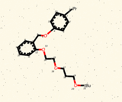 CC(C)c1ccc(OCc2ccccc2OCCOCCCOC(C)(C)C)cc1